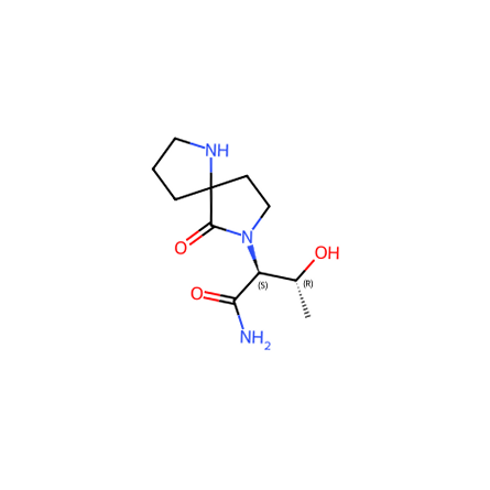 C[C@@H](O)[C@@H](C(N)=O)N1CCC2(CCCN2)C1=O